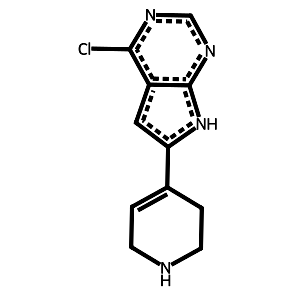 Clc1ncnc2[nH]c(C3=CCNCC3)cc12